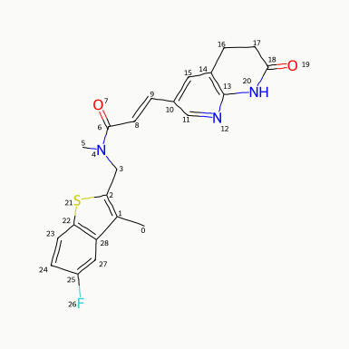 Cc1c(CN(C)C(=O)/C=C/c2cnc3c(c2)CCC(=O)N3)sc2ccc(F)cc12